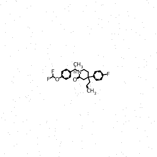 C=CCC1(c2ccc(F)cc2)CCN([C@@H](C)c2ccc(OC(F)F)cc2)C(=O)C1